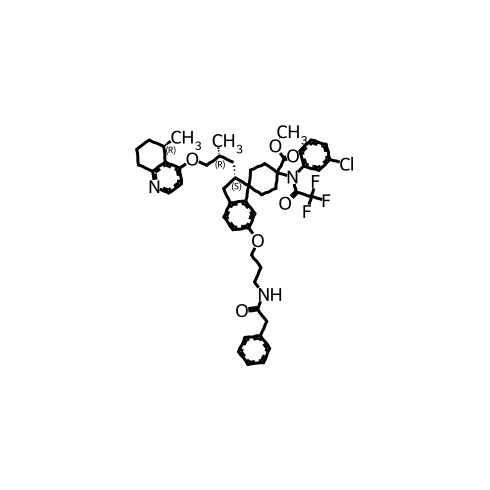 COC(=O)C1(N(C(=O)C(F)(F)F)c2cccc(Cl)c2)CCC2(CC1)c1cc(OCCCNC(=O)Cc3ccccc3)ccc1C[C@@H]2C[C@@H](C)COc1ccnc2c1[C@H](C)CCC2